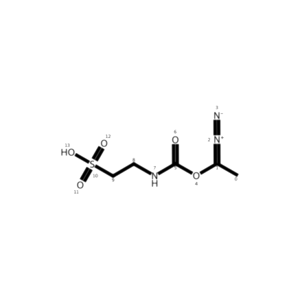 CC(=[N+]=[N-])OC(=O)NCCS(=O)(=O)O